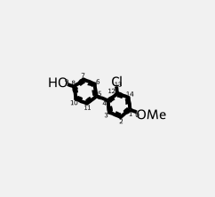 COc1ccc(-c2ccc(O)cc2)c(Cl)c1